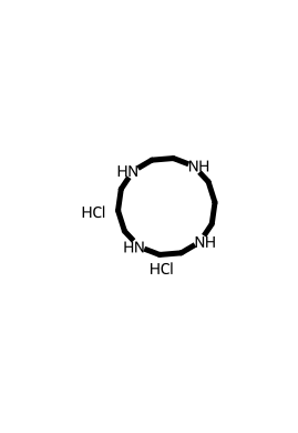 C1CNCCNCCCNCCNC1.Cl.Cl